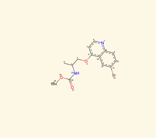 CC(COc1ccnc2ccc(Br)cc12)NC(=O)OC(C)(C)C